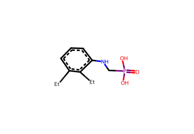 CCc1cccc(NCP(=O)(O)O)c1CC